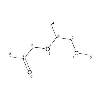 COCC(C)OCC(C)=O